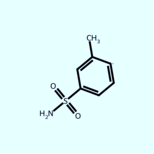 Cc1[c]ccc(S(N)(=O)=O)c1